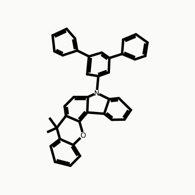 CC1(C)c2ccccc2Oc2c1ccc1c2c2ccccc2n1-c1cc(-c2ccccc2)cc(-c2ccccc2)c1